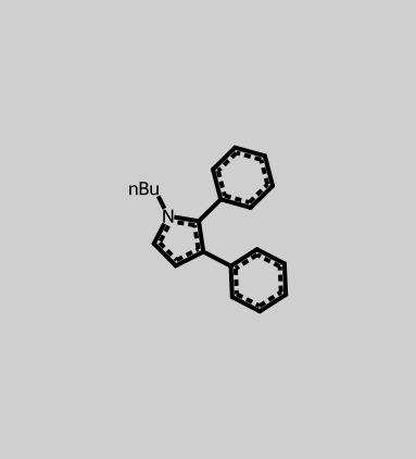 CCCCn1ccc(-c2ccccc2)c1-c1ccccc1